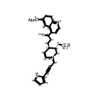 COc1ccc2nccc(C(=O)CC[C@@H]3CCN(CC#Cc4cccs4)C[C@H]3CC(=O)O)c2c1